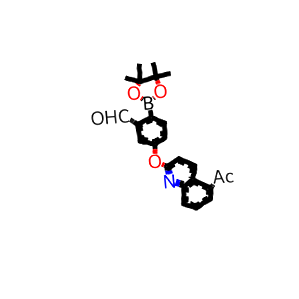 CC(=O)c1cccc2nc(Oc3ccc(B4OC(C)(C)C(C)(C)O4)c(C=O)c3)ccc12